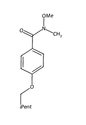 CCCC(C)COc1ccc(C(=O)N(C)OC)cc1